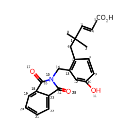 CC(C)(C=CC(=O)O)Cc1ccc(O)cc1CN1C(=O)c2ccccc2C1=O